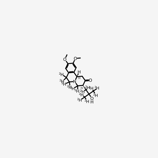 [2H]C1([2H])[C@H](C([2H])([2H])C(O)(C([2H])([2H])[2H])C([2H])([2H])[2H])C(=O)C[C@H]2c3cc(OC)c(OC)cc3C([2H])([2H])C([2H])([2H])N21